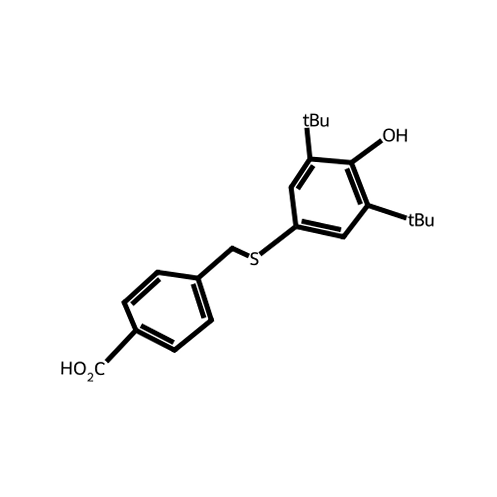 CC(C)(C)c1cc(SCc2ccc(C(=O)O)cc2)cc(C(C)(C)C)c1O